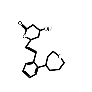 O=C1CC(O)CC(/C=C/c2ccccc2C2CCCCCC2)O1